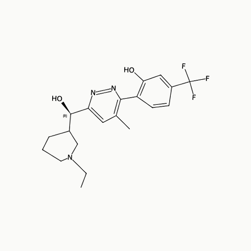 CCN1CCCC([C@@H](O)c2cc(C)c(-c3ccc(C(F)(F)F)cc3O)nn2)C1